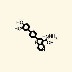 NNC(O)c1cc(-c2ccc(-c3ccc(O)c(O)c3)cc2)nc2ccncc12